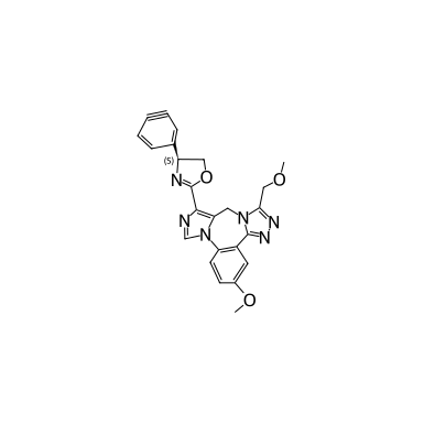 COCc1nnc2n1Cc1c(C3=N[C@@H](c4cc#ccc4)CO3)ncn1-c1ccc(OC)cc1-2